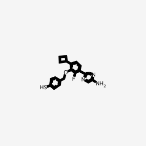 Nc1cnc(-c2ccc(C3CCC3)c(OCc3ccc(S)cc3)c2F)cn1